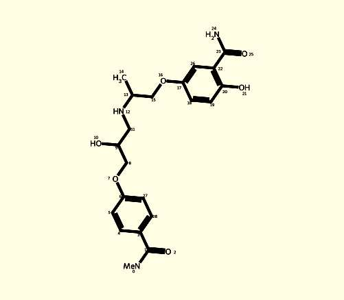 CNC(=O)c1ccc(OCC(O)CNC(C)COc2ccc(O)c(C(N)=O)c2)cc1